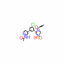 CC#CC(=O)N1CCN(S(C)(=O)=O)C[C@@H]1c1cc(Cl)cc(-c2ccnc(NC(C)=O)c2)c1